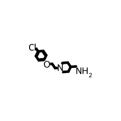 NCC1CCN(CCOc2ccc(Cl)cc2)CC1